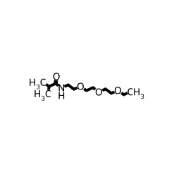 CCOCCOCCOCCNC(=O)C(C)C